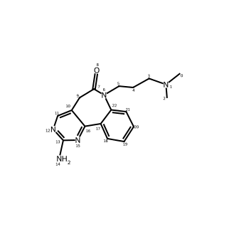 CN(C)CCCN1C(=O)Cc2cnc(N)nc2-c2ccccc21